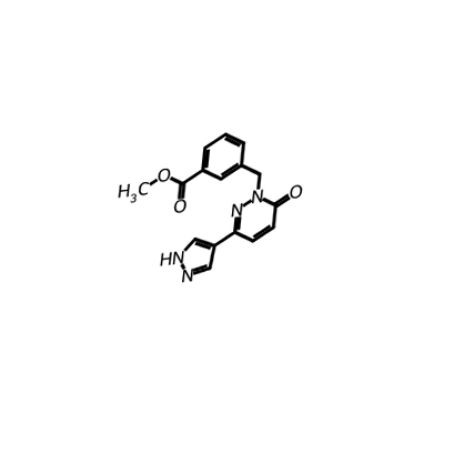 COC(=O)c1cccc(Cn2nc(-c3cn[nH]c3)ccc2=O)c1